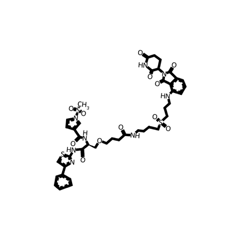 CS(=O)(=O)n1ccc(C(=O)N[C@@H](COCCCC(=O)NCCCCS(=O)(=O)CCCNc2cccc3c2C(=O)N(C2CCC(=O)NC2=O)C3=O)C(=O)Nc2nc(-c3ccccc3)cs2)c1